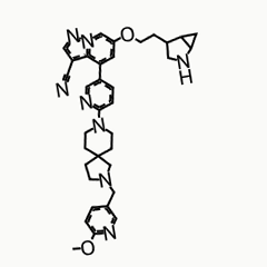 COc1ccc(CN2CCC3(CCN(c4ccc(-c5cc(OCCC6CNC7CC67)cn6ncc(C#N)c56)cn4)CC3)C2)cn1